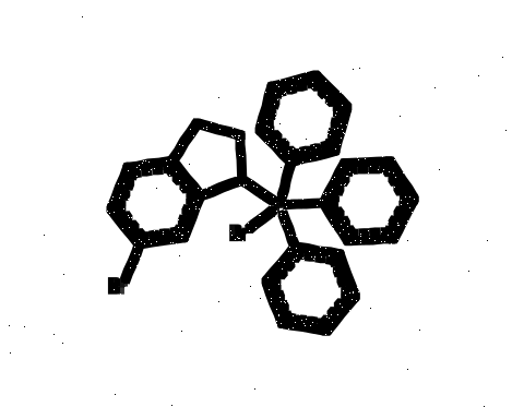 Brc1ccc2c(c1)C(P(Br)(c1ccccc1)(c1ccccc1)c1ccccc1)CC2